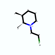 C[C@@H]1[C@@H](C)CCCN1CCF